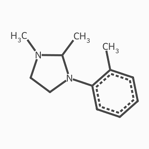 Cc1ccccc1N1CCN(C)C1C